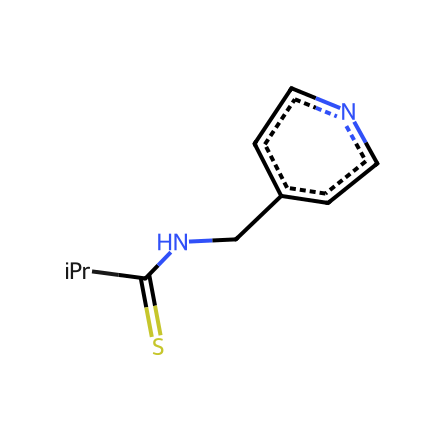 CC(C)C(=S)NCc1ccncc1